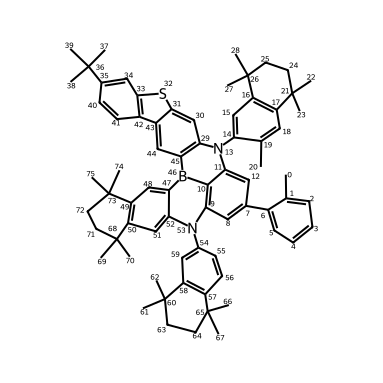 Cc1ccccc1-c1cc2c3c(c1)N(c1cc4c(cc1C)C(C)(C)CCC4(C)C)c1cc4sc5cc(C(C)(C)C)ccc5c4cc1B3c1cc3c(cc1N2c1ccc2c(c1)C(C)(C)CCC2(C)C)C(C)(C)CCC3(C)C